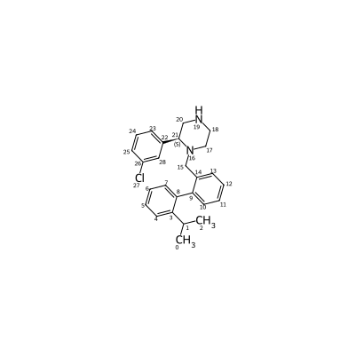 CC(C)c1ccccc1-c1ccccc1CN1CCNC[C@@H]1c1cccc(Cl)c1